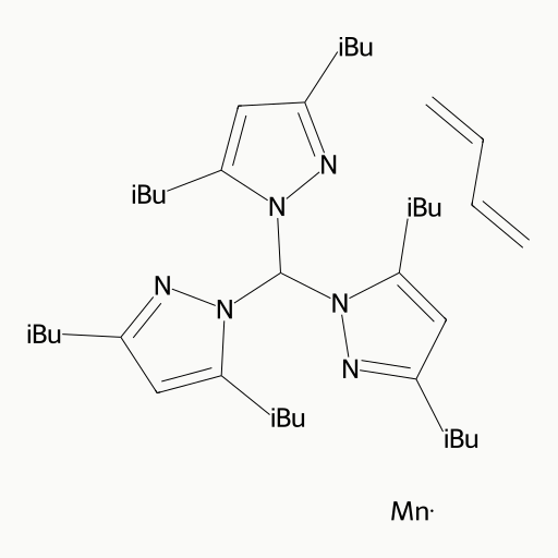 C=CC=C.CCC(C)c1cc(C(C)CC)n(C(n2nc(C(C)CC)cc2C(C)CC)n2nc(C(C)CC)cc2C(C)CC)n1.[Mn]